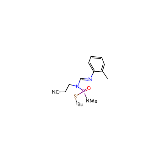 CCC(C)SP(=O)(NC)N(C=Nc1ccccc1C)CCC#N